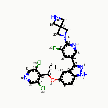 C[C@@H](Oc1ccc2[nH]nc(-c3cnc(N4CC5(CNC5)C4)c(F)c3)c2c1)c1c(Cl)cncc1Cl